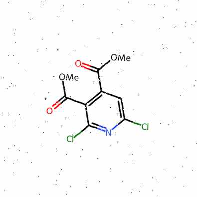 COC(=O)c1cc(Cl)nc(Cl)c1C(=O)OC